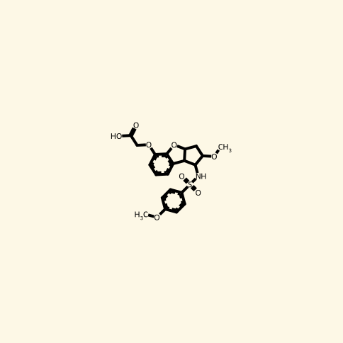 COc1ccc(S(=O)(=O)NC2C(OC)CC3Oc4c(OCC(=O)O)cccc4C32)cc1